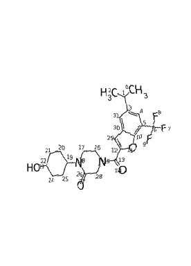 CC(C)c1cc(C(F)(F)F)c2oc(C(=O)N3CCN(C4CCC(O)CC4)C(=O)C3)cc2c1